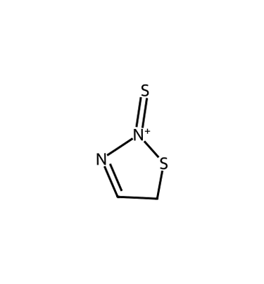 S=[N+]1N=CCS1